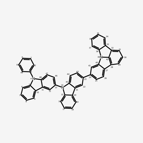 c1ccc(-n2c3ccccc3c3cc(-n4c5ccccc5c5cc(-c6ccc7c8cccc9c%10ccccc%10n(c7c6)c98)ccc54)ccc32)cc1